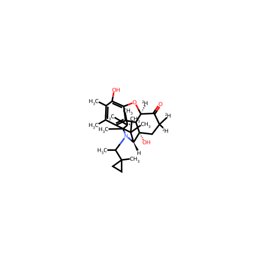 [2H]C1([2H])C[C@@]2(O)[C@@H]3N(C(C)C4(C)CC4)C(C)C(C)(C)[C@@]24c2c(c(O)c(C)c(C)c2C3(C)C)O[C@@]4([2H])C1=O